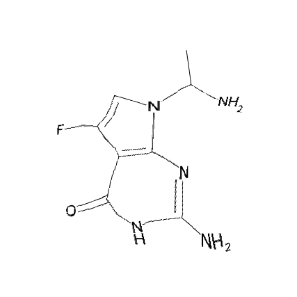 CC(N)n1cc(F)c2c(=O)[nH]c(N)nc21